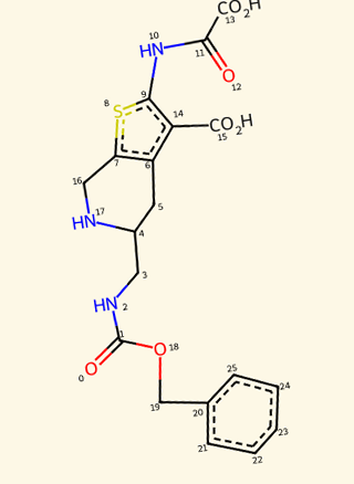 O=C(NCC1Cc2c(sc(NC(=O)C(=O)O)c2C(=O)O)CN1)OCc1ccccc1